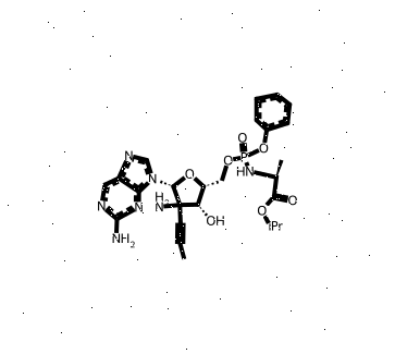 CC#CC1(N)[C@@H](O)[C@@H](COP(=O)(N[C@@H](C)C(=O)OC(C)C)Oc2ccccc2)O[C@H]1n1cnc2cnc(N)nc21